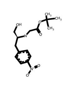 CC(C)(C)OC(=O)C[N][C@H](CO)Cc1ccc([N+](=O)[O-])cc1